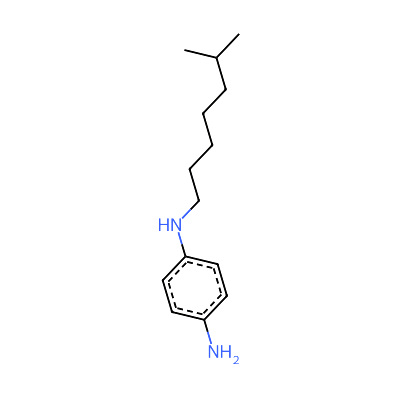 CC(C)CCCCCNc1ccc(N)cc1